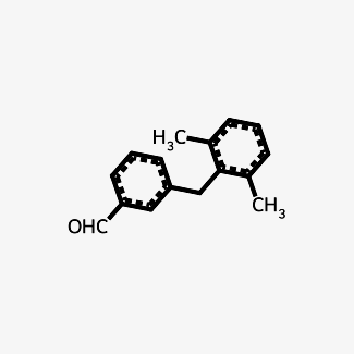 Cc1cccc(C)c1Cc1cccc(C=O)c1